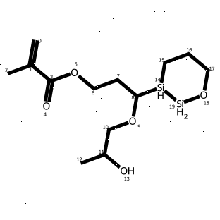 C=C(C)C(=O)OCCC(OCC(C)O)[SiH]1CCCO[SiH2]1